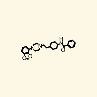 O=C(NC1CCC(CCN2CCN(c3cccc4c3OCO4)CC2)CC1)c1ccccc1